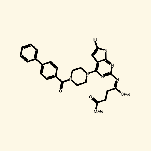 CCc1cc2c(N3CCN(C(=O)c4ccc(-c5ccccc5)cc4)CC3)nc(N=C(CCC(=O)OC)OC)nc2s1